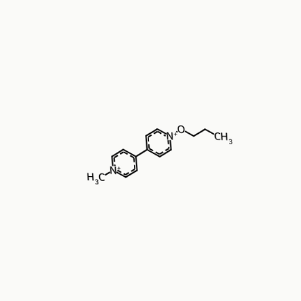 CCCO[n+]1ccc(-c2cc[n+](C)cc2)cc1